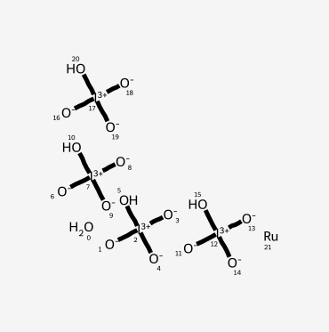 O.[O-][I+3]([O-])([O-])O.[O-][I+3]([O-])([O-])O.[O-][I+3]([O-])([O-])O.[O-][I+3]([O-])([O-])O.[Ru]